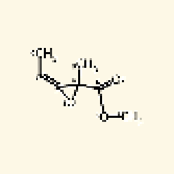 CC=C1OC1(C)C(=O)OC